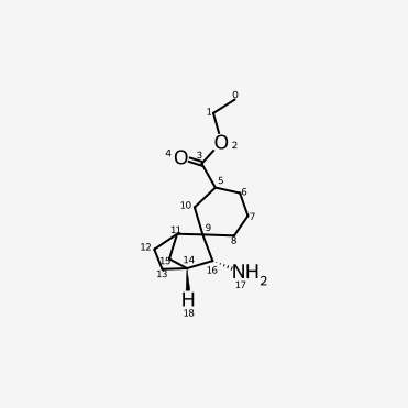 CCOC(=O)C1CCCC2(C1)C1CC[C@H](C1)[C@H]2N